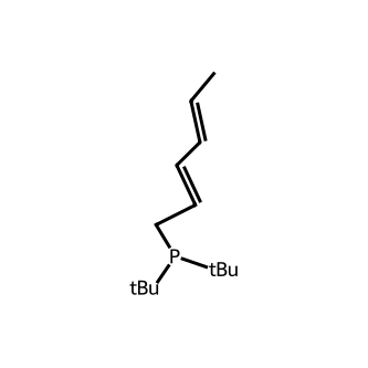 CC=CC=CCP(C(C)(C)C)C(C)(C)C